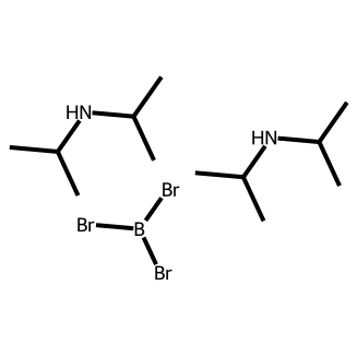 BrB(Br)Br.CC(C)NC(C)C.CC(C)NC(C)C